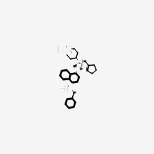 O=C(Nc1ccc(S(=O)(=O)N(C(=O)C2CCCC2)C2CCNCC2)c2ccccc12)c1ccccc1